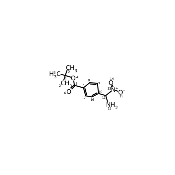 CC(C)(C)OC(=O)c1ccc(C(N)[N+](=O)[O-])cc1